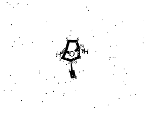 C#C[C@H]1C[C@H]2CC[C@@H](C1)O2